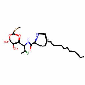 CCCCCCCCC[C@@H]1CCNC(C(=O)NC(C(C)Cl)C2OC(SC)O[C@@H](O)C2O)CC1